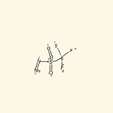 N=NS(=O)(=O)C(F)(F)F